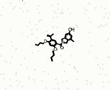 C=C(C)c1cc(C(=O)N2Cc3cc(O)cc(C)c3C2)c(OCCCC)cc1OCCCC